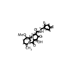 CO[C@@H]1CC[C@H](C)N2C[C@H]1n1cc(C(=O)NCc3ccc(F)cc3F)c(=O)c(O)c1C2=O